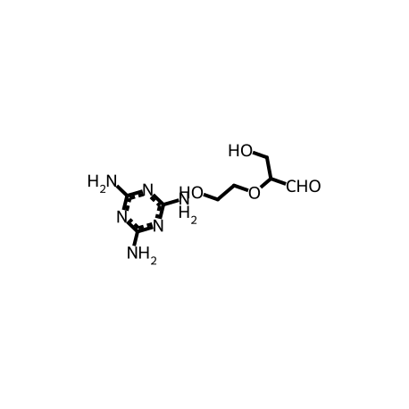 Nc1nc(N)nc(N)n1.O=CC(CO)OCCO